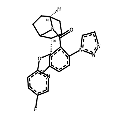 O=C(c1cc(Cl)ccc1-n1ccnn1)N1C2CC[C@H]1CC[C@@H]2COc1ccc(F)cn1